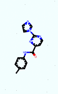 Cc1ccc(NC(=O)c2ccnc(-n3ccnc3)n2)cc1